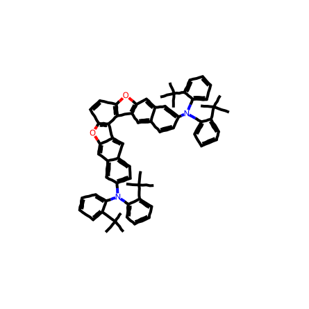 CC(C)(C)c1ccccc1N(c1ccc2cc3c(cc2c1)oc1ccc2oc4cc5cc(N(c6ccccc6C(C)(C)C)c6ccccc6C(C)(C)C)ccc5cc4c2c13)c1ccccc1C(C)(C)C